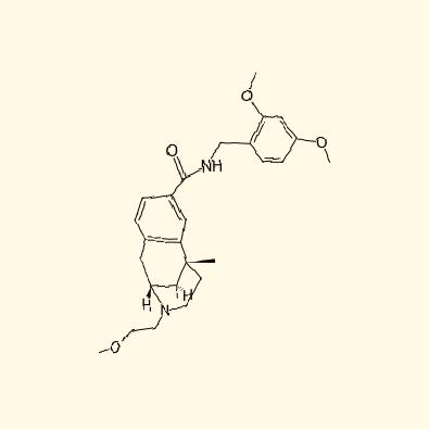 COCCN1CC[C@@]2(C)c3cc(C(=O)NCc4ccc(OC)cc4OC)ccc3C[C@@H]1[C@@H]2C